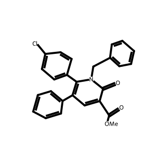 COC(=O)c1cc(-c2ccccc2)c(-c2ccc(Cl)cc2)n(Cc2ccccc2)c1=O